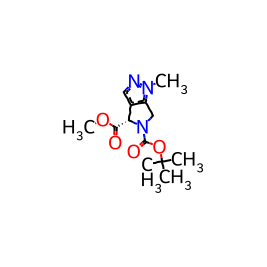 COC(=O)[C@@H]1c2cnn(C)c2CN1C(=O)OC(C)(C)C